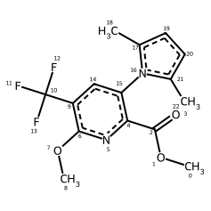 COC(=O)c1nc(OC)c(C(F)(F)F)cc1-n1c(C)ccc1C